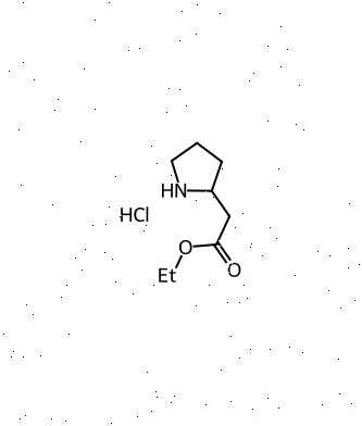 CCOC(=O)CC1CCCN1.Cl